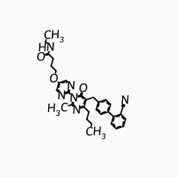 CCCCc1nc(C)n(-c2ncc(OCCCC(=O)NCC)cn2)c(=O)c1Cc1ccc(-c2ccccc2C#N)cc1